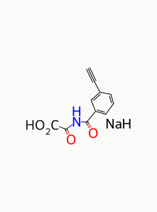 C#Cc1cccc(C(=O)NC(=O)C(=O)O)c1.[NaH]